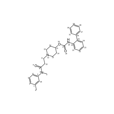 Cc1cccc(N(C)C(=O)CCN2CCC(OC(=O)Nc3ccccc3-c3ccccc3)CC2)c1